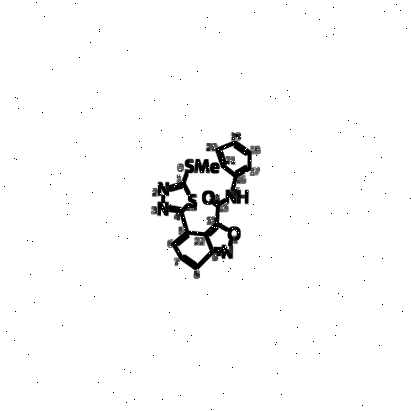 CSc1nnc(-c2cccc3noc(C(=O)Nc4ccccc4)c23)s1